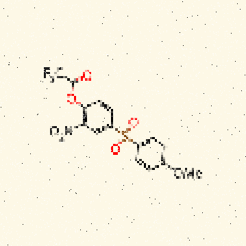 COc1ccc(S(=O)(=O)c2ccc(OC(=O)C(F)(F)F)c([N+](=O)[O-])c2)cc1